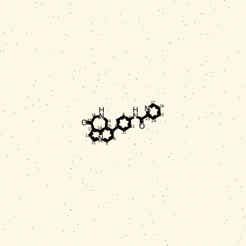 O=C(Nc1ccc(-c2ccn3ccc4c3c2CNCC4=O)cc1)c1ccccn1